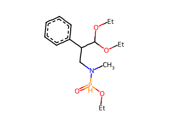 CCOC(OCC)C(CN(C)[PH](=O)OCC)c1ccccc1